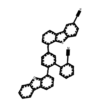 N#Cc1ccc2sc3c(-c4ccc(-c5cccc6c5oc5ccccc56)c(-c5ccccc5C#N)c4)cccc3c2c1